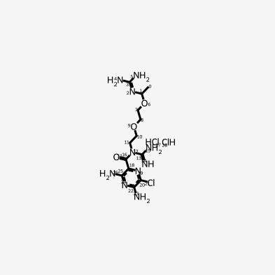 CC(N=C(N)N)OCCOCCN(C(=N)N)C(=O)c1nc(Cl)c(N)nc1N.Cl.Cl